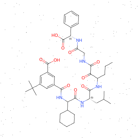 CCCC(NC(=O)[C@H](CC(C)C)NC(=O)C(NC(=O)c1cc(C(=O)O)cc(C(C)(C)C)c1)C1CCCCC1)C(=O)C(=O)NCC(=O)N[C@H](C(=O)O)c1ccccc1